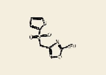 CC(C)(C)c1nc(CS(=O)(=O)c2cccs2)no1